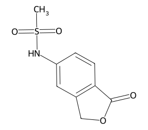 CS(=O)(=O)Nc1ccc2c(c1)COC2=O